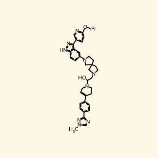 CC(C)Oc1ccc(-c2n[nH]c3ccc(N4CCC5(CCN(CC(O)N6CC=C(c7ccc(-c8ncn(C)n8)cc7)CC6)C5)C4)cc23)cn1